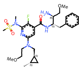 COCCN(C[C@H]1C[C@@H]1C)c1cc(C(=O)N[C@@H](Cc2ccccc2)[C@@H](N)COC)c(F)c(N(C)S(C)(=O)=O)n1